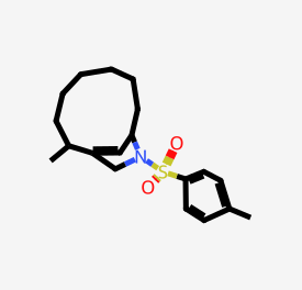 Cc1ccc(S(=O)(=O)N2CC3=CC2CCCCCCC3C)cc1